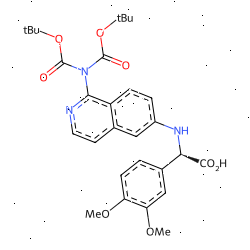 COc1ccc([C@@H](Nc2ccc3c(N(C(=O)OC(C)(C)C)C(=O)OC(C)(C)C)nccc3c2)C(=O)O)cc1OC